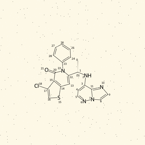 C[C@H](Nc1ccnn2ccnc12)c1cc2scc(Cl)c2c(=O)n1-c1ccccc1